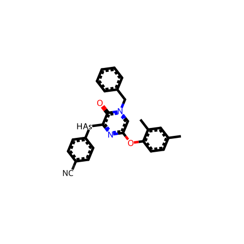 Cc1ccc(Oc2cn(Cc3ccccc3)c(=O)c([AsH]c3ccc(C#N)cc3)n2)c(C)c1